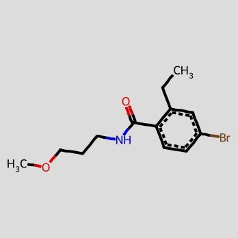 CCc1cc(Br)ccc1C(=O)NCCCOC